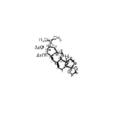 CC(=O)O[C@H]1[C@H](OC(C)=O)C2=CC3=CCC4(C)[C@@H](CCC45OCCO5)[C@@]34CC[C@]2(C[C@@H]1N(C)C)O4